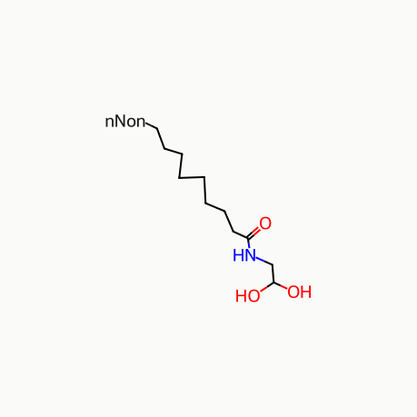 CCCCCCCCCCCCCCCCCC(=O)NCC(O)O